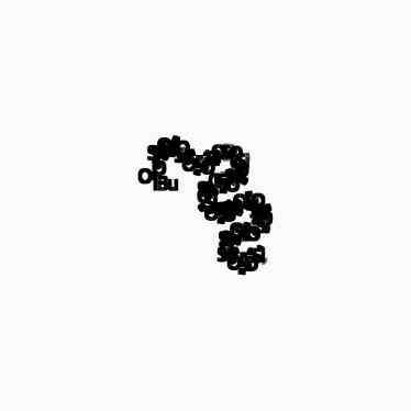 CCC(C)C(=O)OC[Si](C)(C)O[Si](C)(C)O[Si](C)(C)O[Si](C)(C)O[Si](C)(C)O[Si](C)(C)O[Si](C)(C)O[Si](C)(C)O[Si](C)(C)O[Si](C)(C)O[Si](C)(C)O[Si](C)(C)O[Si](C)(C)O[Si](C)(C)O[Si](C)(C)O[Si](C)(C)O[Si](C)(C)O[Si](C)(C)O[Si](C)(C)O[Si](C)(C)O[Si](C)(C)C